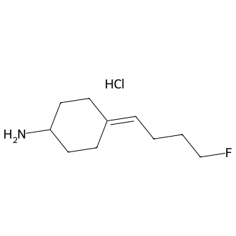 Cl.NC1CCC(=CCCCF)CC1